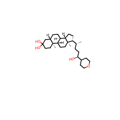 C[C@H](CC[C@H](O)C1CCOCC1)[C@H]1CC[C@H]2[C@@H]3CC[C@H]4CC(O)(O)CC[C@]4(C)[C@H]3CC[C@]12C